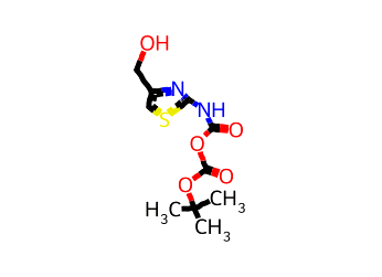 CC(C)(C)OC(=O)OC(=O)Nc1nc(CO)cs1